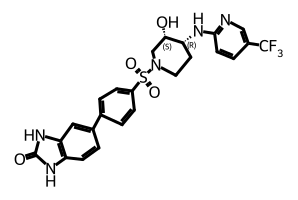 O=c1[nH]c2ccc(-c3ccc(S(=O)(=O)N4CC[C@@H](Nc5ccc(C(F)(F)F)cn5)[C@@H](O)C4)cc3)cc2[nH]1